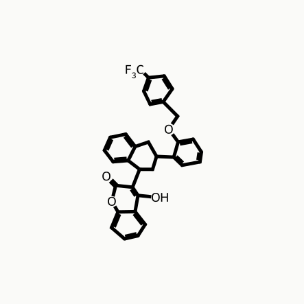 O=c1oc2ccccc2c(O)c1C1CC(c2ccccc2OCc2ccc(C(F)(F)F)cc2)Cc2ccccc21